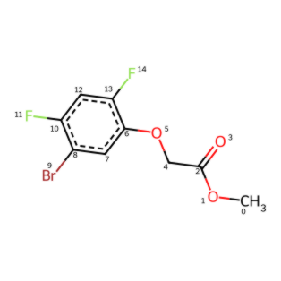 COC(=O)COc1cc(Br)c(F)cc1F